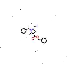 CC1=C(C(=O)OCc2ccccc2)CC(CI)N1[C@@H](C)c1ccccc1